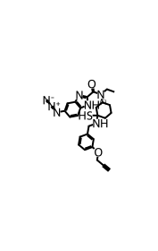 C#CCOc1cccc(CNC2(S)CCC[C@H](N(CC)C(=O)c3nc4cc(N=[N+]=[N-])ccc4[nH]3)C2)c1